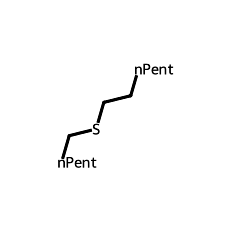 [CH2]CCCCCCSCCCCCC